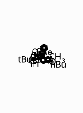 CCCCOc1cc2c(cc1C)-c1c(c(OC(=O)OC(C)(C)C)c(C(=O)OC)c(=O)n1Cc1ccccc1)C(C(C)C)C2